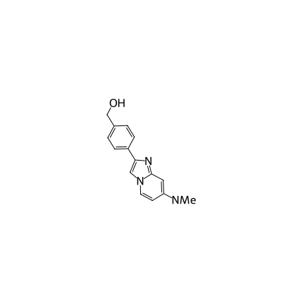 CNc1ccn2cc(-c3ccc(CO)cc3)nc2c1